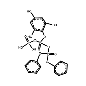 O=P(O)(O)OP(=O)(Oc1c(O)cc(O)cc1O)OP(=O)(Oc1ccccc1)Oc1ccccc1